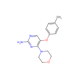 Cc1ccc(Oc2cnc(N)nc2N2CCOCC2)cc1